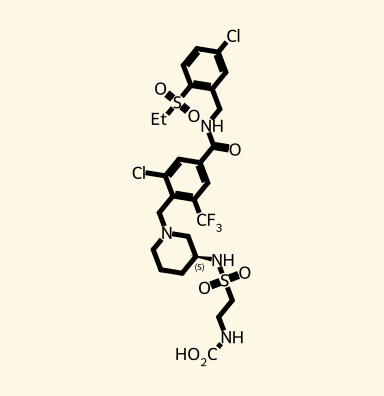 CCS(=O)(=O)c1ccc(Cl)cc1CNC(=O)c1cc(Cl)c(CN2CCC[C@H](NS(=O)(=O)CCNC(=O)O)C2)c(C(F)(F)F)c1